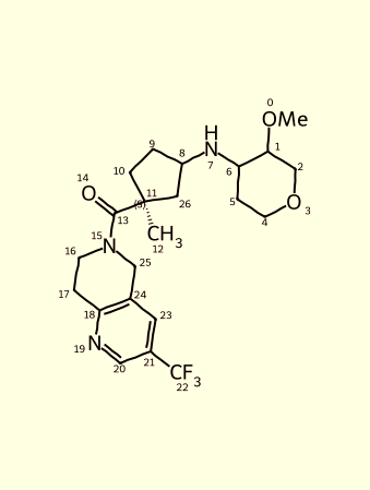 COC1COCCC1NC1CC[C@](C)(C(=O)N2CCc3ncc(C(F)(F)F)cc3C2)C1